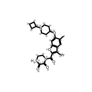 Cc1cc2c(C(C)C)c(C(=O)N3CC[SH4]C(=O)C3=O)oc2cc1OC1CCN(C2CCC2)CC1